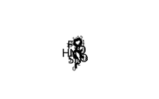 CCCn1c(=S)[nH]c2c(oc3cccc(F)c32)c1=O